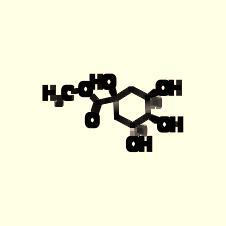 COC(=O)[C@]1(O)C[C@@H](O)[C@@H](O)[C@H](O)C1